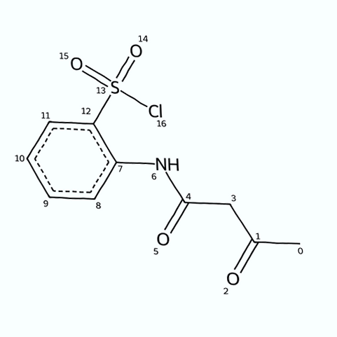 CC(=O)CC(=O)Nc1ccccc1S(=O)(=O)Cl